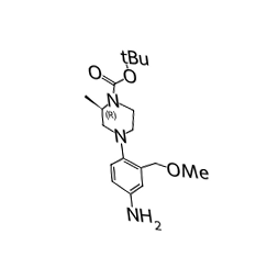 COCc1cc(N)ccc1N1CCN(C(=O)OC(C)(C)C)[C@H](C)C1